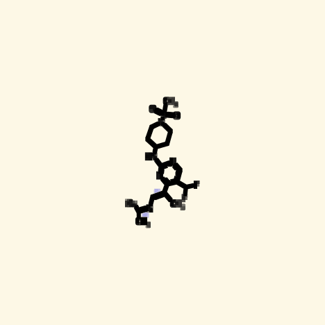 CCC(C)/C(C)=N\C=C(/C)c1nc(NC2CCN(S(C)(=O)=O)CC2)ncc1C(F)F